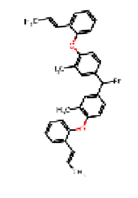 CC=Cc1ccccc1Oc1ccc(C(CC)c2ccc(Oc3ccccc3C=CC)c(C)c2)cc1C